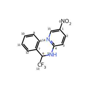 O=[N+]([O-])c1ccc(NC(c2ccccc2)C(F)(F)F)nc1